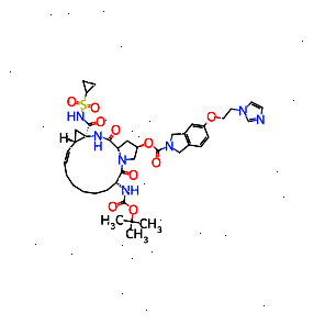 CC(C)(C)OC(=O)N[C@H]1CCCCC/C=C\[C@@H]2C[C@@]2(C(=O)NS(=O)(=O)C2CC2)NC(=O)C2C[C@@H](OC(=O)N3Cc4ccc(OCCn5ccnc5)cc4C3)CN2C1=O